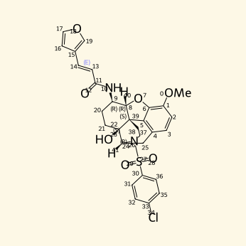 COc1ccc2c3c1O[C@H]1[C@H](NC(=O)/C=C/c4ccoc4)CC[C@@]4(O)[C@@H](C2)N(S(=O)(=O)c2ccc(Cl)cc2)CC[C@]314